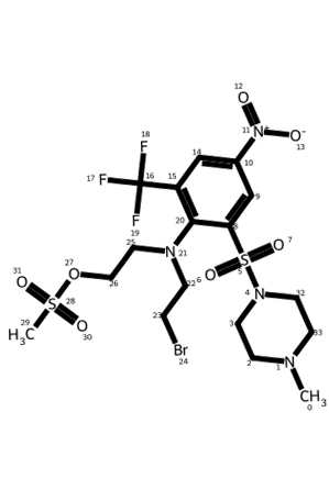 CN1CCN(S(=O)(=O)c2cc([N+](=O)[O-])cc(C(F)(F)F)c2N(CCBr)CCOS(C)(=O)=O)CC1